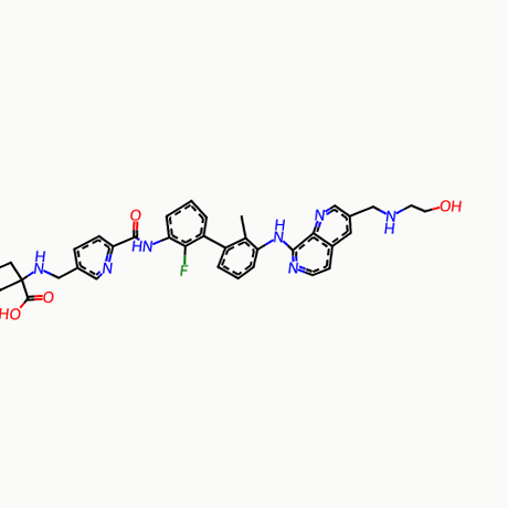 Cc1c(Nc2nccc3cc(CNCCO)cnc23)cccc1-c1cccc(NC(=O)c2ccc(CNC3(C(=O)O)CCC3)cn2)c1F